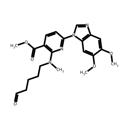 COC(=O)c1ccc(-n2cnc3cc(OC)c(OC)cc32)nc1N(C)CCCCC=O